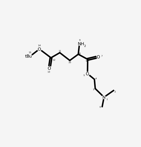 CN(C)CCOC(=O)C(N)CCC(=O)OC(C)(C)C